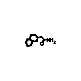 NC(=O)Cc1ccc2ccccc2c1